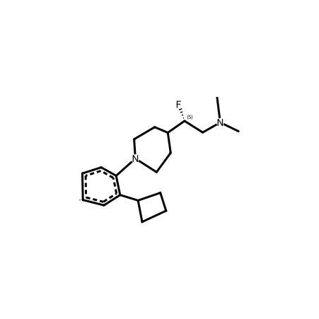 CN(C)C[C@@H](F)C1CCN(c2cc[c]cc2C2CCC2)CC1